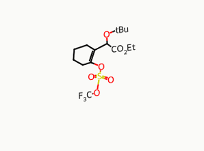 CCOC(=O)C(OC(C)(C)C)C1=C(OS(=O)(=O)OC(F)(F)F)CCCC1